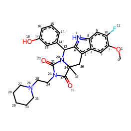 COc1cc2c3c([nH]c2cc1F)C(c1cccc(O)c1)N1C(=O)N(CCN2CCCCC2)C(=O)C1(C)C3